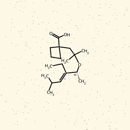 CC/C(=C\C(C)C)[C@@H](C)OC(C)(C)CC1(C(=O)O)CCC1